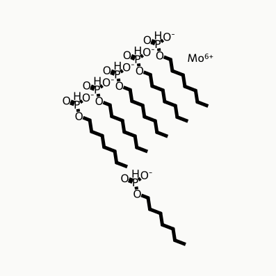 CCCCCCCO[PH](=O)[O-].CCCCCCCO[PH](=O)[O-].CCCCCCCO[PH](=O)[O-].CCCCCCCO[PH](=O)[O-].CCCCCCCO[PH](=O)[O-].CCCCCCCO[PH](=O)[O-].[Mo+6]